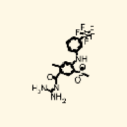 Cc1cc(Nc2cccc(S(F)(F)(F)(F)F)c2)c(S(C)(=O)=O)cc1C(=O)N=C(N)N